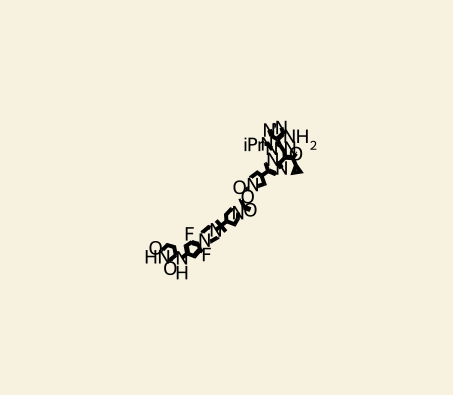 CC(C)n1nc(-c2noc(C3CC3)c2-c2ncc(C3CCN(C(=O)OCC(=O)N4CCC(C(C)(C)N5CCN(c6c(F)cc(NC7CCC(=O)NC7=O)cc6F)CC5)CC4)CC3)cn2)c2c(N)ncnc21